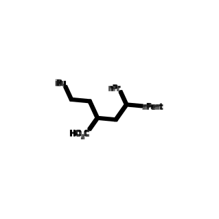 CCCCCC(CCC)CC(CCC(C)CC)C(=O)O